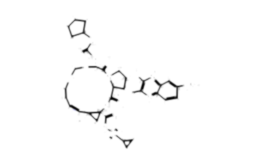 COc1ccc2nc(Cl)c(O[C@@H]3C[C@H]4C(=O)N[C@]5(C(=O)NS(=O)(=O)C6CC6)C[C@H]5/C=C\CCCCC[C@H](NC(=O)OC5CCCC5)C(=O)N4C3)nc2c1